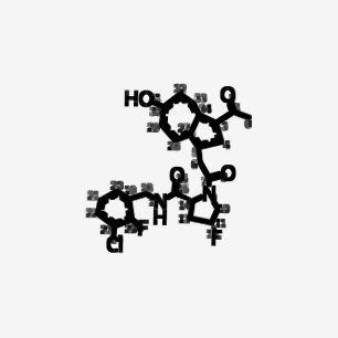 CC(=O)c1cc(CC(=O)N2C[C@H](F)C[C@H]2C(=O)NCc2cccc(Cl)c2F)c2ccc(O)ccc1-2